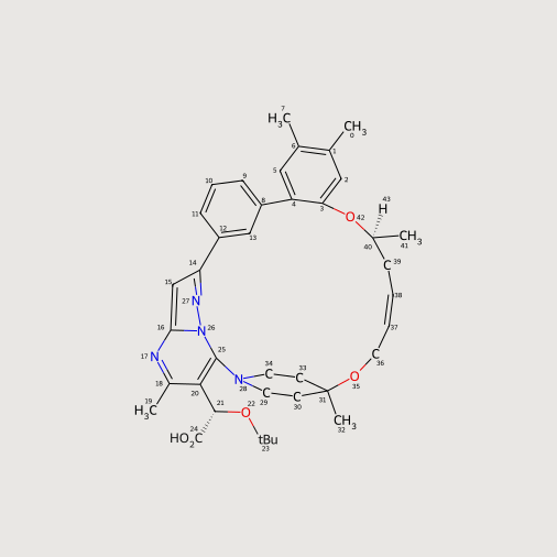 Cc1cc2c(cc1C)-c1cccc(c1)-c1cc3nc(C)c([C@H](OC(C)(C)C)C(=O)O)c(n3n1)N1CCC(C)(CC1)OCC=CC[C@H](C)O2